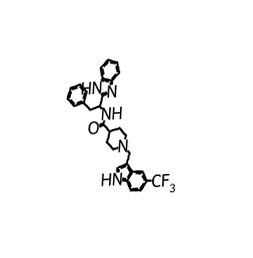 O=C(NC(Cc1ccccc1)c1nc2ccccc2[nH]1)C1CCN(Cc2c[nH]c3ccc(C(F)(F)F)cc23)CC1